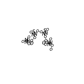 c1ccc(-c2cccc(-c3nc(-c4ccccc4)nc(-c4cccc5oc6cc(-c7ccc(-c8nc(-c9ccc(-c%10cccc(-c%11nc(-c%12cccc(-c%13ccc%14c(c%13)oc%13cccc(-c%15nc(-c%16ccccc%16)nc(-c%16ccccc%16)n%15)c%13%14)c%12)nc%12c%11sc%11ccccc%11%12)c%10)cc9)c9sc%10ccccc%10c9n8)cc7)ccc6c45)n3)c2)cc1